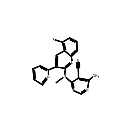 CN(c1nc2cccc(F)c2cc1-c1ccccn1)c1ncnc(N)c1C#N